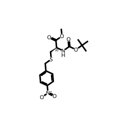 COC(=O)[C@H](CSCc1ccc([N+](=O)[O-])cc1)NC(=O)OC(C)(C)C